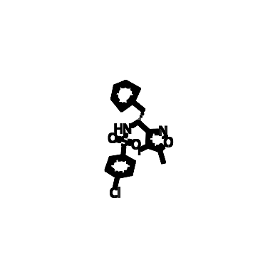 Cc1onc([C@@H](Cc2ccccc2)NS(=O)(=O)c2ccc(Cl)cc2)c1I